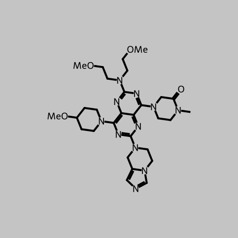 COCCN(CCOC)c1nc(N2CCN(C)C(=O)C2)c2nc(N3CCn4cncc4C3)nc(N3CCC(OC)CC3)c2n1